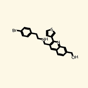 OCc1ccc2cc(CNCCc3ccc(Br)cc3)c(-c3ccsc3)nc2c1